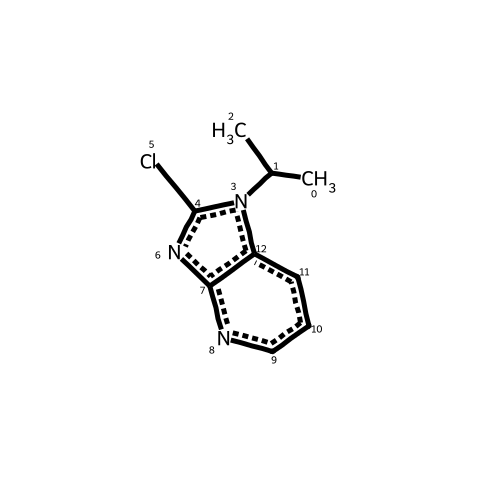 CC(C)n1c(Cl)nc2ncccc21